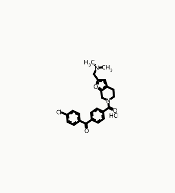 CN(C)Cc1cc2c(o1)CN(C(=O)c1ccc(C(=O)c3ccc(Cl)cc3)cc1)CC2.Cl